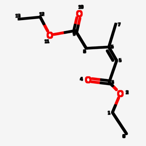 CCOC(=O)C=C(C)CC(=O)OCC